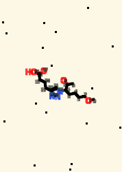 COCCCCC(C(C)=O)n1cc(CCCC(=O)O)nn1